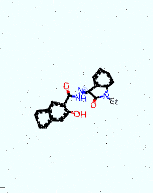 CCN1C(=O)/C(=N\NC(=O)c2cc3ccccc3cc2O)c2ccccc21